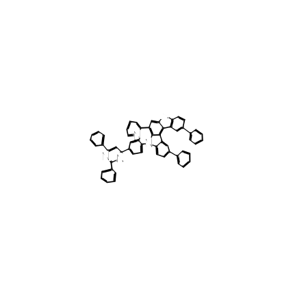 c1ccc(-c2ccc3sc4cc(-c5ccccn5)c5c(c6cc(-c7ccccc7)ccc6n5-c5ccc(-c6cc(-c7ccccc7)nc(-c7ccccc7)n6)cc5)c4c3c2)cc1